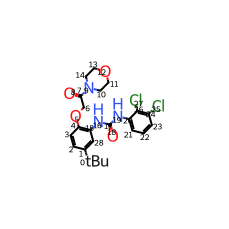 CC(C)(C)c1ccc(OCC(=O)N2CCOCC2)c(NC(=O)Nc2cccc(Cl)c2Cl)c1